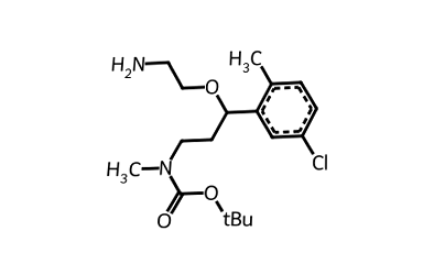 Cc1ccc(Cl)cc1C(CCN(C)C(=O)OC(C)(C)C)OCCN